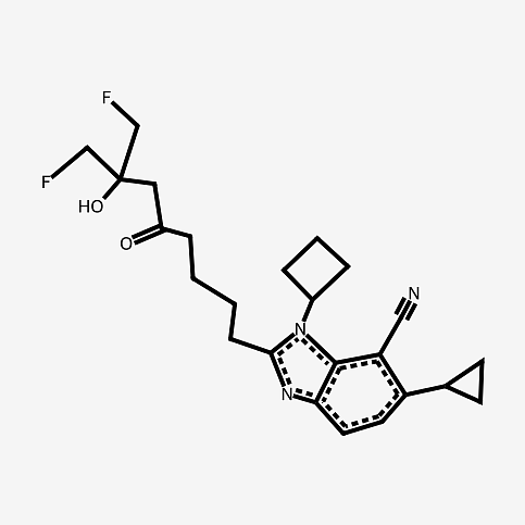 N#Cc1c(C2CC2)ccc2nc(CCCCC(=O)CC(O)(CF)CF)n(C3CCC3)c12